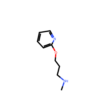 CNCCCOc1ccccn1